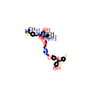 Cc1ncsc1-c1ccc(CNC(=O)C2CC(O)CN2C(=O)[C@@H](NC(=O)COCCN2CCN(CCOc3ccc(Oc4c(-c5ccc(F)cc5)sc5cc(O)ccc45)cc3)CC2)C(C)(C)C)cc1